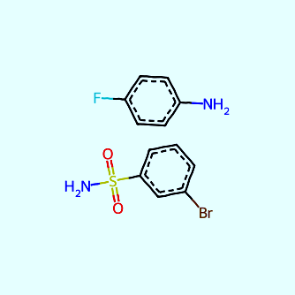 NS(=O)(=O)c1cccc(Br)c1.Nc1ccc(F)cc1